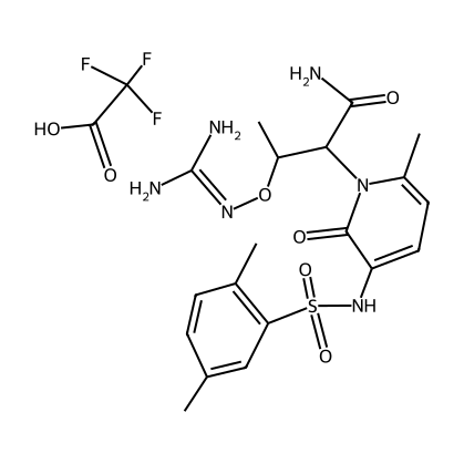 Cc1ccc(C)c(S(=O)(=O)Nc2ccc(C)n(C(C(N)=O)C(C)ON=C(N)N)c2=O)c1.O=C(O)C(F)(F)F